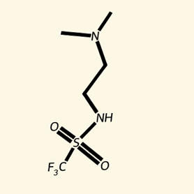 CN(C)CCNS(=O)(=O)C(F)(F)F